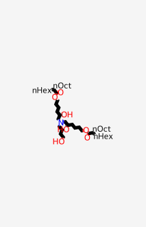 CCCCCCCCC(CCCCCC)C(=O)OCCCC[C@H](O)CN(CCCCO)C[C@@H](O)CCCCOC(=O)C(CCCCCC)CCCCCCCC